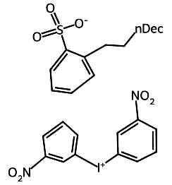 CCCCCCCCCCCCc1ccccc1S(=O)(=O)[O-].O=[N+]([O-])c1cccc([I+]c2cccc([N+](=O)[O-])c2)c1